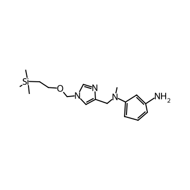 CN(Cc1cn(COCC[Si](C)(C)C)cn1)c1cccc(N)c1